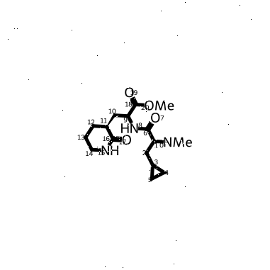 CNC(CC1CC1)C(=O)NC(C[C@@H]1CCCNC1=O)C(=O)OC